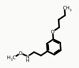 CCCCOc1cccc(CCNOC)c1